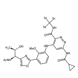 [2H]C([2H])([2H])NC(=O)c1nnc(NC(=O)C2CC2)cc1Nc1cccc(-c2nc([C@@H](NC(C)=O)[C@@H](C)O)no2)c1OC